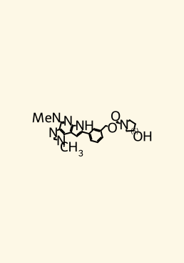 CNc1nc2[nH]c(-c3cccc(COC(=O)N4CC[C@H](O)C4)c3)cc2c2c1ncn2C